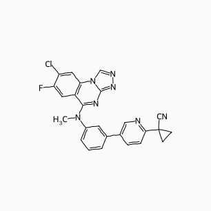 CN(c1cccc(-c2ccc(C3(C#N)CC3)nc2)c1)c1nc2nncn2c2cc(Cl)c(F)cc12